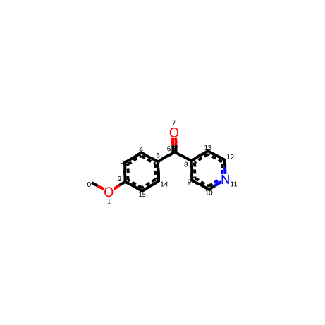 COc1ccc(C(=O)c2ccncc2)cc1